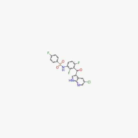 O=C(c1c(F)ccc(NS(=O)(=O)c2ccc(F)cc2)c1F)c1c[nH]c2ncc(Cl)cc12